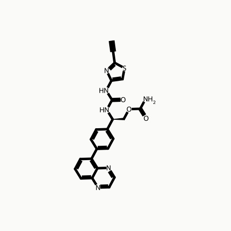 C#Cc1nc(NC(=O)N[C@@H](COC(N)=O)c2ccc(-c3cccc4nccnc34)cc2)cs1